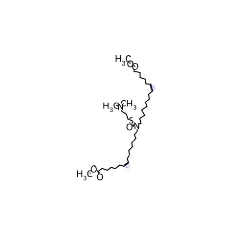 COOCCCCC/C=C\CCCCCCCCN(CCCCCCCC/C=C\CCCCCC(=O)OC)C(=O)SCCCN(C)C